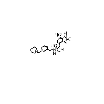 O=c1[nH]c2c(O)ccc(CC(O)(O)NCCc3cccc(CN4CCOCC4)c3)c2s1